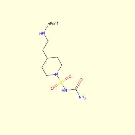 CCCCCNCCC1CCN(S(=O)(=O)NC(N)=O)CC1